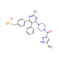 O=C(c1cc([N+](=O)[O-])[nH]n1)N1CCN(c2nc(C(F)(F)F)nc(-c3ccc(C[SH](=O)=O)cc3)c2-c2ccccc2)CC1